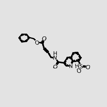 O=C(C#CCNC(=O)c1cnc2c([SH](=O)=O)cccc2c1)OCc1ccccc1